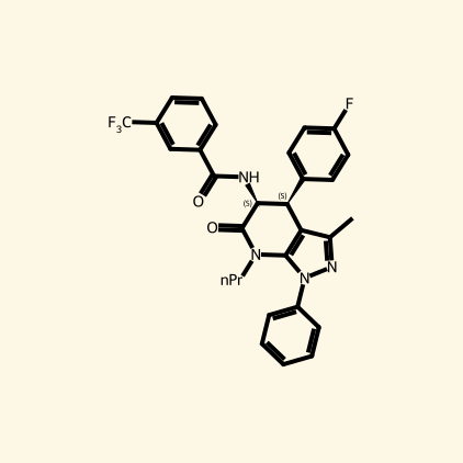 CCCN1C(=O)[C@@H](NC(=O)c2cccc(C(F)(F)F)c2)[C@@H](c2ccc(F)cc2)c2c(C)nn(-c3ccccc3)c21